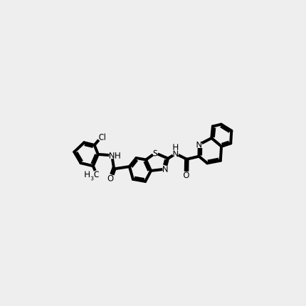 Cc1cccc(Cl)c1NC(=O)c1ccc2nc(NC(=O)c3ccc4ccccc4n3)sc2c1